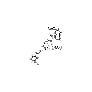 COc1ccc2nccc([C@H](F)CC[C@@H]3CCN(CCCCc4cccc(C)c4)C[C@H]3CCC(=O)O)c2c1